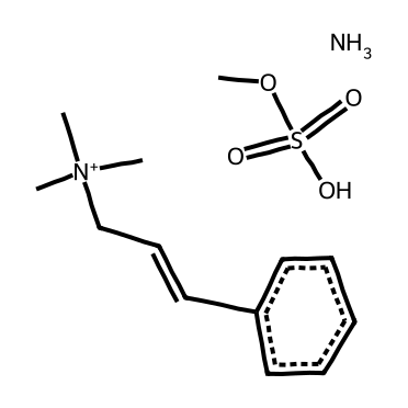 COS(=O)(=O)O.C[N+](C)(C)CC=Cc1ccccc1.N